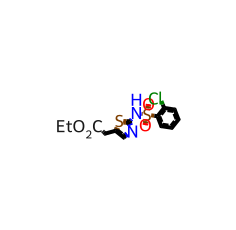 CCOC(=O)Cc1cnc(NS(=O)(=O)c2ccccc2Cl)s1